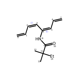 C=C/C=C\C(=C/C=C)NC(=O)C(C)(C)CC